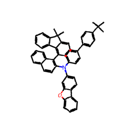 CC(C)(C)c1ccc(-c2ccc(N(c3ccc4c(c3)oc3ccccc34)c3ccc4ccccc4c3-c3cccc4c3-c3ccccc3C4(C)C)cc2)cc1